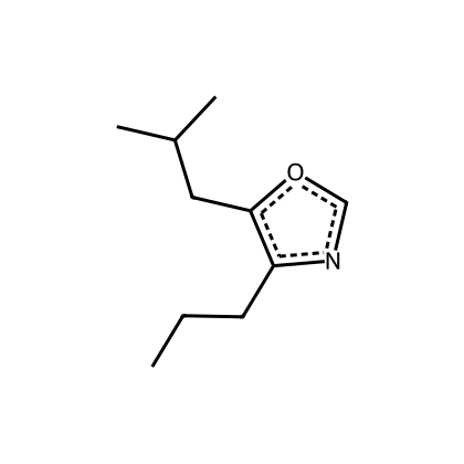 CCCc1ncoc1CC(C)C